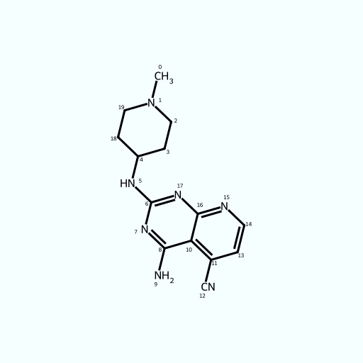 CN1CCC(Nc2nc(N)c3c(C#N)ccnc3n2)CC1